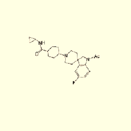 CC(=O)N1CC2(CCN(C3CCC(C(=O)NC4CC4)CC3)CC2)c2cc(F)ccc21